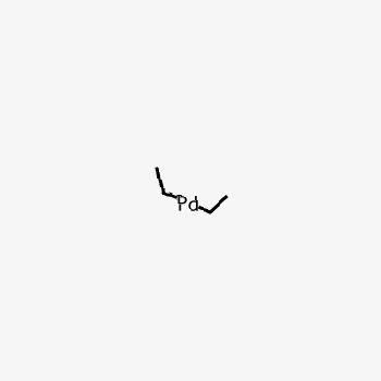 C[CH2][Pd][CH2]C